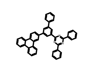 c1ccc(-c2cc(-c3ccc4c5ccccc5c5ccccc5c4c3)cc(-c3nc(-c4ccccc4)nc(-c4ccccc4)n3)c2)cc1